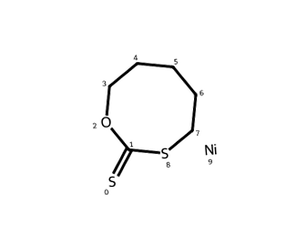 S=C1OCCCCCS1.[Ni]